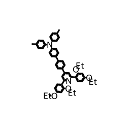 CCOc1ccc(-c2cc(-c3ccc(-c4ccc(N(c5ccc(C)cc5)c5ccc(C)cc5)cc4)cc3)cc(-c3ccc(OCC)cc3OCC)n2)c(OCC)c1